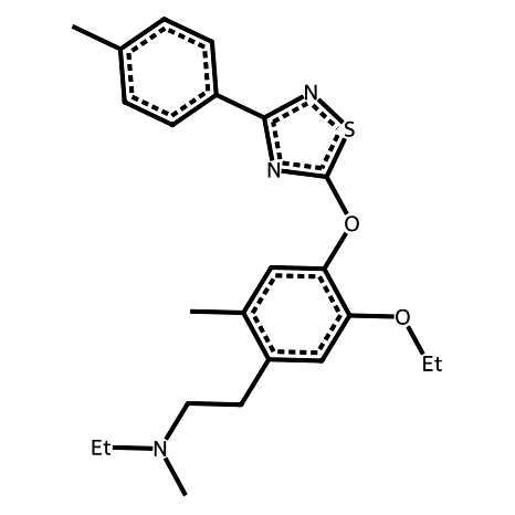 CCOc1cc(CCN(C)CC)c(C)cc1Oc1nc(-c2ccc(C)cc2)ns1